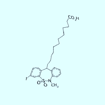 CN1c2ccccc2C(CCCCCCCCCCCC(=O)O)c2ccc(I)cc2S1(=O)=O